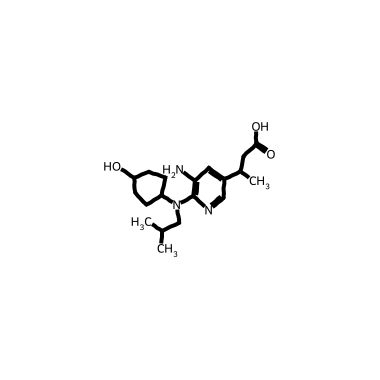 CC(C)CN(c1ncc(C(C)CC(=O)O)cc1N)C1CCC(O)CC1